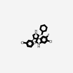 O=C1Nc2cc(Cl)c(F)cc2[C@]12[C@@H](c1cccc(Cl)c1)CN[C@@H]2CC1CCCCC1